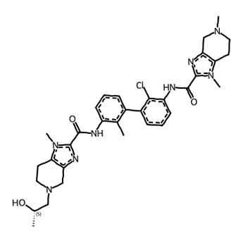 Cc1c(NC(=O)c2nc3c(n2C)CCN(C[C@H](C)O)C3)cccc1-c1cccc(NC(=O)c2nc3c(n2C)CCN(C)C3)c1Cl